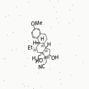 CC[C@H]1C[C@@]2(C)[C@@H](C[C@@H](O)[C@@]2(O)CC#N)[C@@H]2CCc3cc(OC)ccc3[C@@H]12